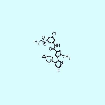 Cc1sc(C(=O)Nc2cc(Cl)cc(S(C)(=O)=O)c2)cc1-c1ncc(F)cc1N1CCC2(CC1)CC2